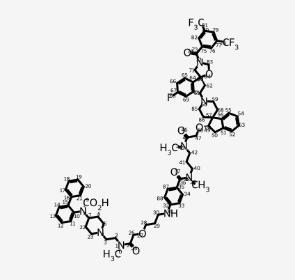 CN(CCN1CCC(N(C(=O)O)c2ccccc2-c2ccccc2)CC1)C(=O)COCCCNc1ccc(C(=O)N(C)CCCN(C)C(=O)CO[C@H]2Cc3ccccc3C23CCN(CC[C@@]2(c4ccc(F)cc4)CN(C(=O)c4cc(C(F)(F)F)cc(C(F)(F)F)c4)CO2)CC3)cc1